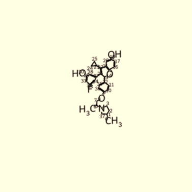 CC1CCN(C(C)COc2ccc(C3Oc4ccc(O)cc4C(C4CC4)=C3c3cc(O)cc(F)c3)cc2)C1